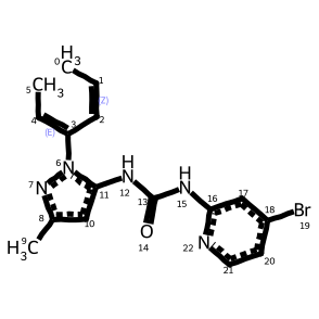 C/C=C\C(=C/C)n1nc(C)cc1NC(=O)Nc1cc(Br)ccn1